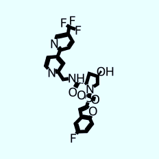 O=C(NCc1cc(-c2ccc(C(F)(F)F)cn2)ccn1)[C@@H]1C[C@@H](O)CN1S(=O)(=O)c1cc2cc(F)ccc2o1